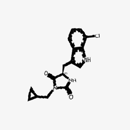 O=C1N[C@H](Cc2c[nH]c3c(Cl)cccc23)C(=O)N1CC1CC1